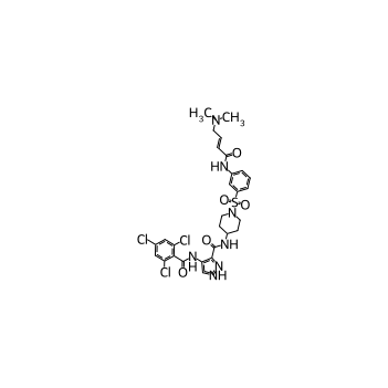 CN(C)C/C=C/C(=O)Nc1cccc(S(=O)(=O)N2CCC(NC(=O)c3n[nH]cc3NC(=O)c3c(Cl)cc(Cl)cc3Cl)CC2)c1